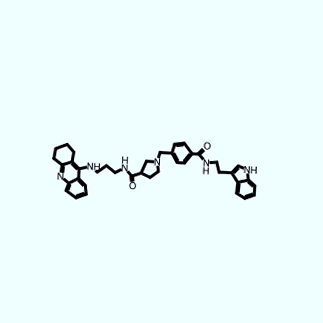 O=C(NCCc1c[nH]c2ccccc12)c1ccc(CN2CCC(C(=O)NCCCNc3c4c(nc5ccccc35)CCCC4)C2)cc1